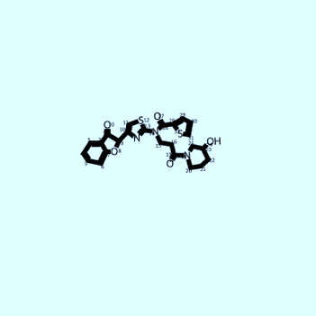 O=C1c2ccccc2OC1c1csc(N(CCC(=O)N2CCCC(O)C2)C(=O)c2cccs2)n1